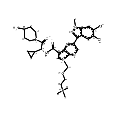 Cn1nc(-c2cnc3c(n2)c(C(=O)N[C@@H](C(=O)N2CCC(N)CC2)C2CC2)cn3COCC[Si](C)(C)C)c2cc(Cl)c(Cl)cc21